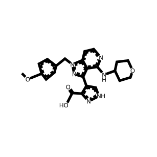 COc1ccc(Cn2nc(-c3c[nH]nc3C(=O)O)c3c(NC4CCOCC4)nccc32)cc1